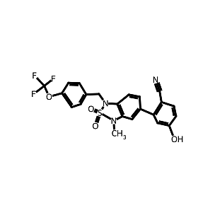 CN1c2cc(-c3cc(O)ccc3C#N)ccc2N(Cc2ccc(OC(F)(F)F)cc2)S1(=O)=O